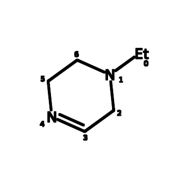 CCN1CC=NCC1